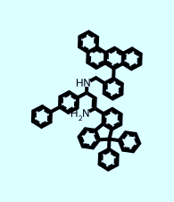 N/C(=C\C(NCc1ccccc1-c1c2ccccc2cc2c1ccc1ccccc12)c1ccc(-c2ccccc2)cc1)c1cccc2c1-c1ccccc1C2(c1ccccc1)c1ccccc1